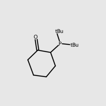 CC(C)(C)P(C1CCCCC1=O)C(C)(C)C